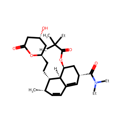 CCN(CC)C(=O)[C@@H]1C=C2C=C[C@H](C)[C@H](CC[C@@H]3C[C@@H](O)CC(=O)O3)[C@H]2[C@@H](OC(=O)C(C)(C)CC)C1